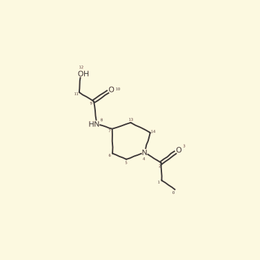 CCC(=O)N1CCC(NC(=O)CO)CC1